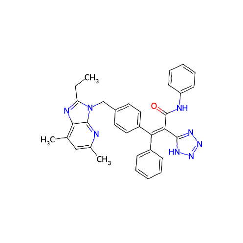 CCc1nc2c(C)cc(C)nc2n1Cc1ccc(/C(=C(\C(=O)Nc2ccccc2)c2nnn[nH]2)c2ccccc2)cc1